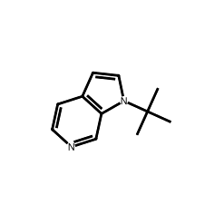 CC(C)(C)n1ccc2ccncc21